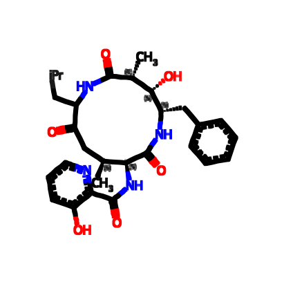 CC(C)CC1NC(=O)[C@H](C)[C@H](O)[C@H](Cc2ccccc2)NC(=O)[C@@H](NC(=O)c2ncccc2O)[C@@H](C)CC1=O